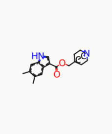 Cc1cc2[nH]cc(C(=O)OCC34CCN(CC3)CC4)c2cc1C